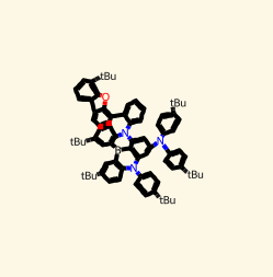 CC(C)(C)c1ccc(N(c2ccc(C(C)(C)C)cc2)c2cc3c4c(c2)N(c2ccccc2-c2cccc5c2oc2c(C(C)(C)C)cccc25)c2ccc(C(C)(C)C)cc2B4c2cc(C(C)(C)C)ccc2N3c2ccc(C(C)(C)C)cc2)cc1